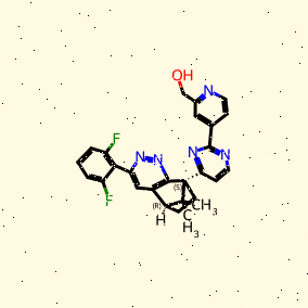 CC1(C)[C@H]2CC[C@]1(c1ccnc(-c3ccnc(CO)c3)n1)c1nnc(-c3c(F)cccc3F)cc12